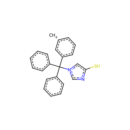 C.Sc1cn(C(c2ccccc2)(c2ccccc2)c2ccccc2)cn1